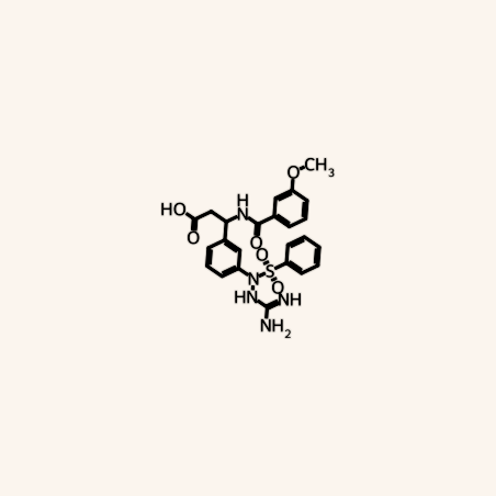 COc1cccc(C(=O)NC(CC(=O)O)c2cccc(N(NC(=N)N)S(=O)(=O)c3ccccc3)c2)c1